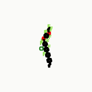 CCCc1ccc(-c2ccc(-c3cc(F)c(-c4cc(F)c(C(F)(F)Oc5cc(F)c(OC(F)(F)C=C(F)F)c(F)c5)c(F)c4)c(Cl)c3)c(F)c2)cc1